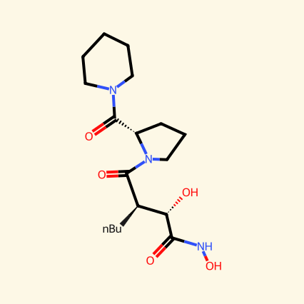 CCCC[C@@H](C(=O)N1CCC[C@H]1C(=O)N1CCCCC1)[C@H](O)C(=O)NO